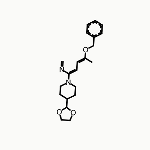 C=N/C(=C\C=C(/C)OCc1ccccc1)N1CCC(C2OCCO2)CC1